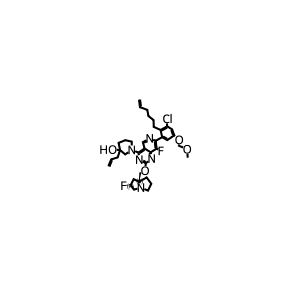 C=CCCCCc1c(Cl)cc(OCOC)cc1-c1ncc2c(N3CCCC(O)(CC=C)C3)nc(OC[C@@]34CCCN3C[C@H](F)C4)nc2c1F